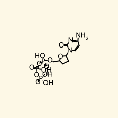 Nc1ccn(C2CCC(COP(=O)(O)OP(=O)(O)OP(=O)(O)O)O2)c(=O)n1